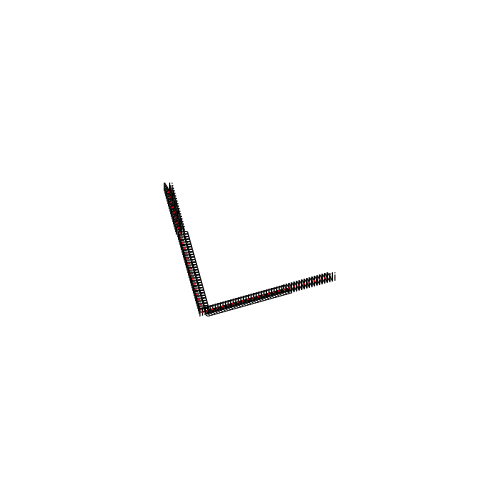 [Fe].[Fe].[Fe].[Fe].[Fe].[Fe].[Fe].[Fe].[Fe].[Fe].[Fe].[Fe].[Fe].[Fe].[Fe].[Fe].[Fe].[Fe].[Fe].[Fe].[Fe].[Fe].[Fe].[Fe].[Fe].[Fe].[Fe].[Fe].[Fe].[Fe].[Fe].[Fe].[Fe].[Fe].[Fe].[Fe].[Fe].[Fe].[Fe].[Fe].[Fe].[Fe].[Fe].[Fe].[Fe].[Fe].[Fe].[Fe].[Fe].[Fe].[Fe].[Fe].[Fe].[Fe].[Fe].[Fe].[Fe].[Fe].[Fe].[Fe].[Fe].[Fe].[Fe].[Fe].[Ni].[Ni].[Ni].[Ni].[Ni].[Ni].[Ni].[Ni].[Ni].[Ni].[Ni].[Ni].[Ni].[Ni].[Ni].[Ni].[Ni].[Ni].[Ni].[Ni].[Ni].[Ni].[Ni].[Ni].[Ni].[Ni].[Ni].[Ni].[Ni].[Ni].[Ni].[Ni].[Ni].[Ni].[Ni].[Ni]